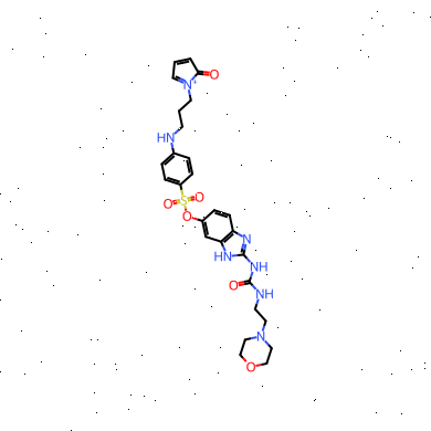 O=C(NCCN1CCOCC1)Nc1nc2ccc(OS(=O)(=O)c3ccc(NCCC[N+]4=CC=CC4=O)cc3)cc2[nH]1